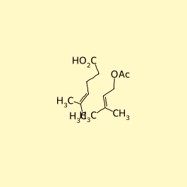 CC(=O)OCC=C(C)C.CC(C)=CCCC(=O)O